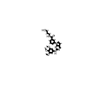 COc1cc(Nc2ncc3ccn(-c4cccc(C(=O)NCCCO)c4)c3n2)cc(OC)c1OC